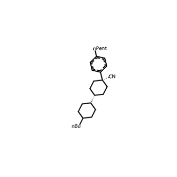 CCCCCc1ccc([C@]2(C#N)CC[C@@H](C3CCC(CCCC)CC3)CC2)cc1